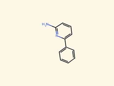 Nc1cccc(-c2ccccc2)n1